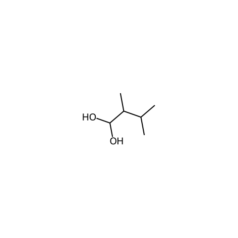 CC(C)C(C)C(O)O